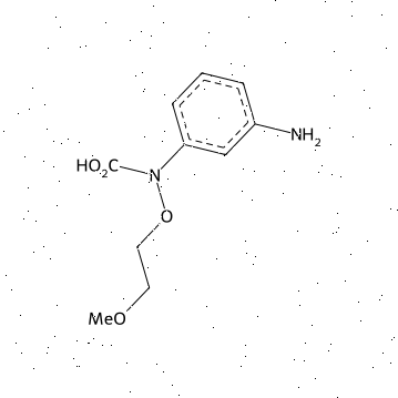 COCCON(C(=O)O)c1cccc(N)c1